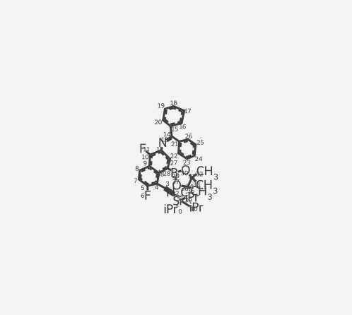 CC(C)[Si](C#Cc1c(F)ccc2c(F)c(N=C(c3ccccc3)c3ccccc3)cc(B3OC(C)(C)C(C)(C)O3)c12)(C(C)C)C(C)C